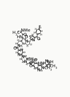 C=C(NC)C(=O)N[C@H](C(=O)N1CCC[C@H]1c1nc(C(=O)c2ccc(F)cc2)cs1)C1CCN(C(=O)c2cnc(N3CCN(CCOc4cc5ncnc(Nc6n[nH]c(C)c6C)c5cc4S(=O)(=O)C(C)(C)C)CC3)cn2)CC1